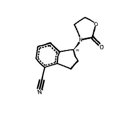 N#Cc1cccc2c1CC[C@@H]2N1CCOC1=O